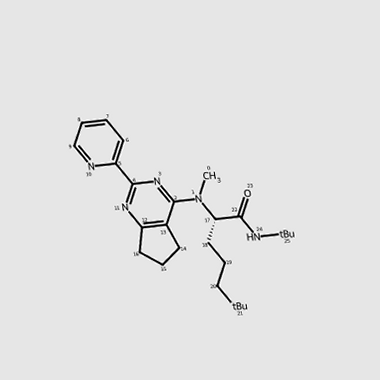 CN(c1nc(-c2ccccn2)nc2c1CCC2)[C@@H](CCCC(C)(C)C)C(=O)NC(C)(C)C